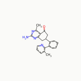 Cc1cccnc1-c1ccccc1C1CC(=O)c2c(C)nc(N)nc2C1